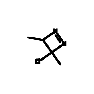 CC1N=NC1(C)Cl